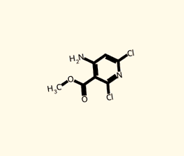 COC(=O)c1c(N)cc(Cl)nc1Cl